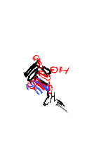 C=CC(=O)NCc1c(O)ccc2c1Oc1cc(O)ccc1C21OC(=O)c2ccccc21